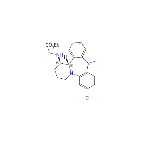 CCOC(=O)CN[C@@H]1CCCN2c3cc(Cl)ccc3N(C)c3ccccc3[C@@H]12